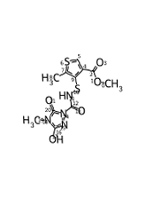 COC(=O)c1csc(C)c1SNC(=O)n1nc(O)n(C)c1=O